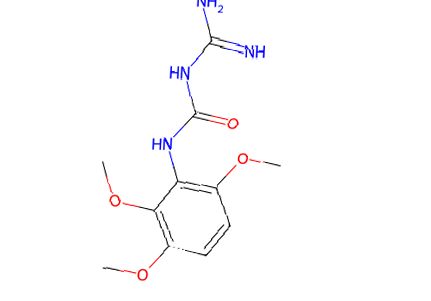 COc1ccc(OC)c(OC)c1NC(=O)NC(=N)N